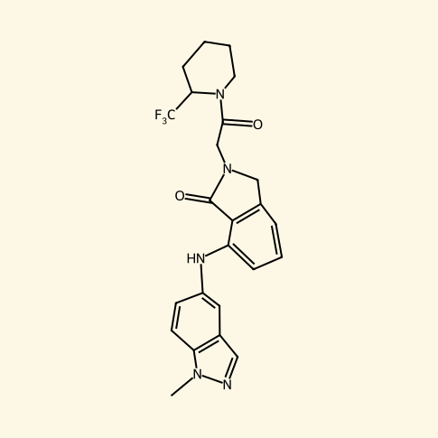 Cn1ncc2cc(Nc3cccc4c3C(=O)N(CC(=O)N3CCCCC3C(F)(F)F)C4)ccc21